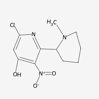 CN1CCCCC1c1nc(Cl)cc(O)c1[N+](=O)[O-]